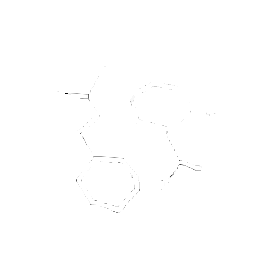 O=C(O)/C=C/c1ccccc1.O=C([O-])c1ccccc1.[Na+]